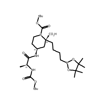 C[C@H](NC(=O)OC(C)(C)C)C(=O)N[C@H]1CCN(C(=O)OC(C)(C)C)[C@@](CCCCB2OC(C)(C)C(C)(C)O2)(C(=O)O)C1